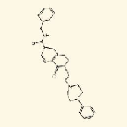 O=C(NCc1ccccc1)c1ccc2c(c1)CCC(CCN1CCC(c3ccccc3)CC1)C2=O